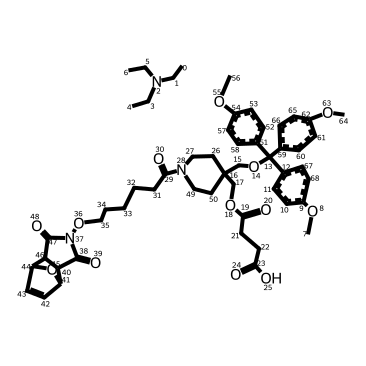 CCN(CC)CC.COc1ccc(C(OCC2(COC(=O)CCC(=O)O)CCN(C(=O)CCCCCON3C(=O)C4C5C=CC(O5)C4C3=O)CC2)(c2ccc(OC)cc2)c2ccc(OC)cc2)cc1